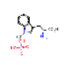 Cn1cc(CC(N)C(=O)O)c2ccccc21.O=P(O)(O)O